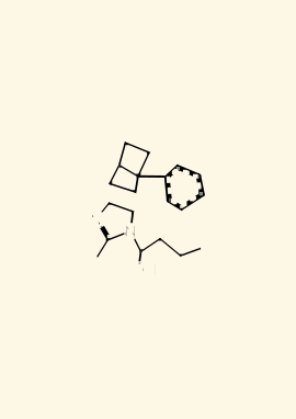 CCCC(O)N1CCN=C1C.c1ccc(C23CCC2CC3)cc1